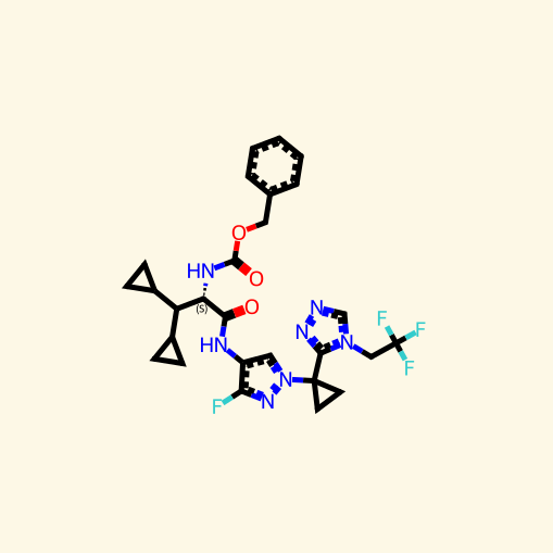 O=C(N[C@H](C(=O)Nc1cn(C2(c3nncn3CC(F)(F)F)CC2)nc1F)C(C1CC1)C1CC1)OCc1ccccc1